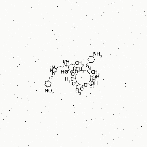 CC[C@H]1OC(=O)[C@H](C)C(=O)[C@H](C)[C@@H](O[C@@H]2O[C@H](C)C[C@H](N(C)CCc3cn(CCc4ccc([N+](=O)[O-])cc4)nn3)[C@H]2O)[C@](C)(OC)CC/C(=N\O[C@H]2CC[C@@H](N)CC2)[C@H](C)[C@@H](O)[C@@]1(O)CC